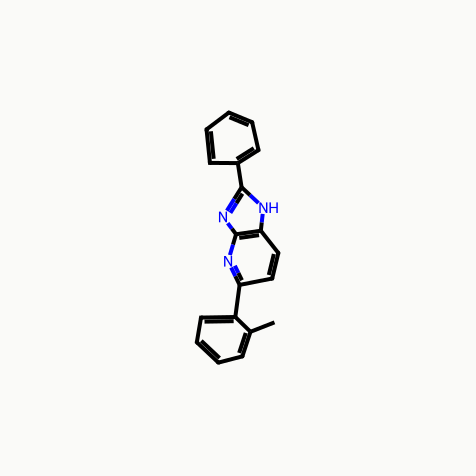 Cc1ccccc1-c1ccc2[nH]c(-c3ccccc3)nc2n1